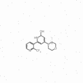 C[C@@H]1COCCN1C1=CC(O)NC(c2cccnc2C(F)(F)F)=C1